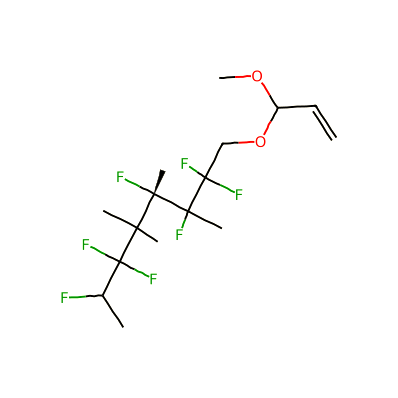 C=CC(OC)OCC(F)(F)C(C)(F)[C@@](C)(F)C(C)(C)C(F)(F)C(C)F